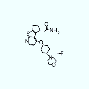 NC(=O)C[C@H]1CCc2sc3nccc(O[C@H]4CC[C@H](N5CCOC[C@H]5CF)CC4)c3c21